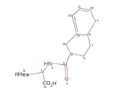 CCCCCCC(NC(=O)C1CCC2CC=CC=C2C1)C(=O)O